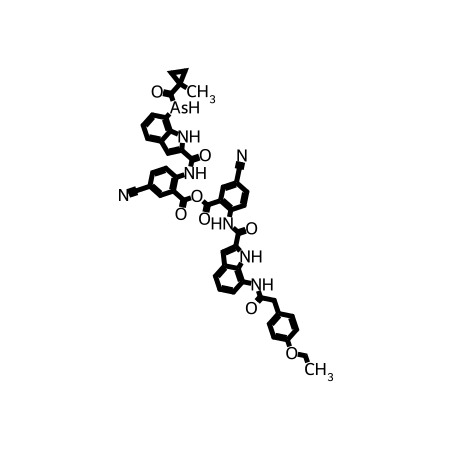 CCOc1ccc(CC(=O)Nc2cccc3cc(C(=O)Nc4ccc(C#N)cc4C(=O)OC(=O)c4cc(C#N)ccc4NC(=O)c4cc5cccc([AsH]C(=O)C6(C)CC6)c5[nH]4)[nH]c23)cc1